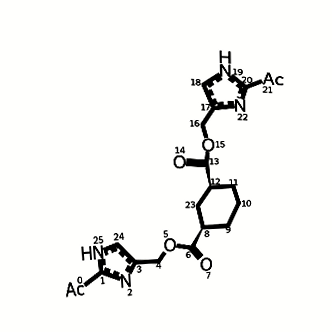 CC(=O)c1nc(COC(=O)[C@@H]2CCC[C@H](C(=O)OCc3c[nH]c(C(C)=O)n3)C2)c[nH]1